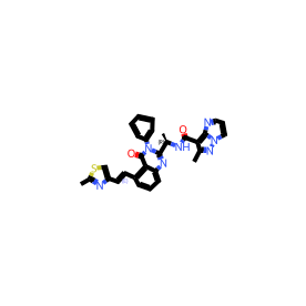 Cc1nc(/C=C/c2cccc3nc([C@@H](C)NC(=O)c4c(C)nn5cccnc45)n(-c4ccccc4)c(=O)c23)cs1